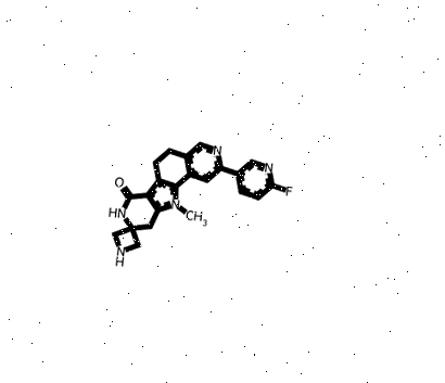 Cn1c2c(c3c1-c1cc(-c4ccc(F)nc4)ncc1CC3)C(=O)NC1(CNC1)C2